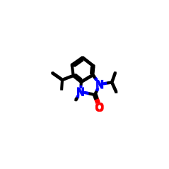 CC(C)c1cccc2c1n(C)c(=O)n2C(C)C